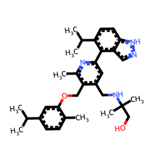 Cc1ccc(C(C)C)cc1OCc1c(CNC(C)(C)CO)cc(-c2c(C(C)C)ccc3[nH]ncc23)nc1C